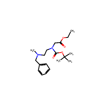 CCOC(=O)CN(CCN(C)Cc1ccccc1)C(=O)OC(C)(C)C